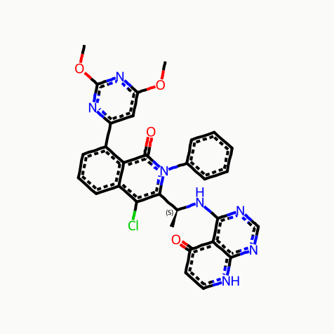 COc1cc(-c2cccc3c(Cl)c([C@H](C)Nc4ncnc5[nH]ccc(=O)c45)n(-c4ccccc4)c(=O)c23)nc(OC)n1